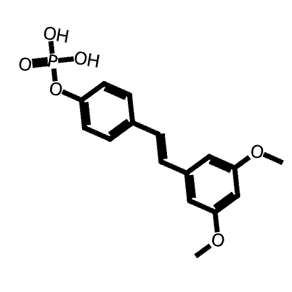 COc1cc(C=Cc2ccc(OP(=O)(O)O)cc2)cc(OC)c1